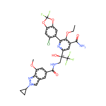 CCOc1c(C(N)=O)cc([C@@](O)(CNC(=O)c2cc(OC)c3nn(C4CC4)cc3c2)C(F)(F)F)nc1-c1cc2c(cc1Cl)OC(F)(F)O2